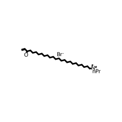 C=CC(=O)CCCCCCCCCCCCCCCCCCCCCC[N+](C)(C)CCC.[Br-]